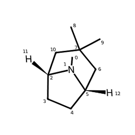 CN1[C@@H]2CC[C@H]1CC(C)(C)C2